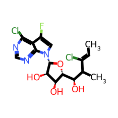 C/C=C(\Cl)C(C)[C@@H](O)[C@H]1O[C@@H](n2cc(F)c3c(Cl)ncnc32)[C@H](O)[C@@H]1O